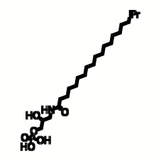 CC(C)CCCCCCCCCCCCCCCCC(=O)NCC(O)COP(=O)(O)O